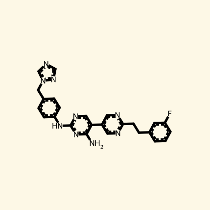 Nc1nc(Nc2ccc(Cn3cncn3)cc2)ncc1-c1cnc(CCc2cccc(F)c2)nc1